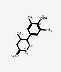 C=C1CC(C)C(c2cc(C)c(OCC(C)C)c(C)c2)SN1